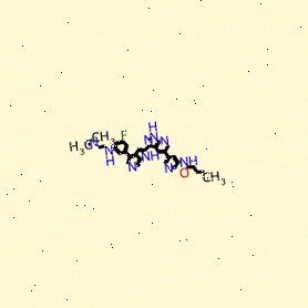 CCCCC(=O)Nc1cncc(-c2cnc3[nH]nc(-c4cc5c(-c6cc(F)cc(NCCN(C)C)c6)cncc5[nH]4)c3c2)c1